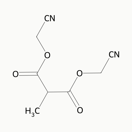 CC(C(=O)OCC#N)C(=O)OCC#N